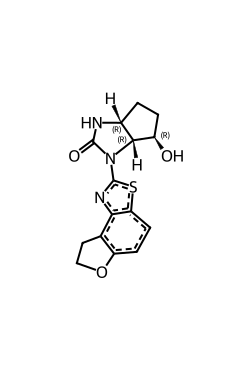 O=C1N[C@@H]2CC[C@@H](O)[C@@H]2N1c1nc2c3c(ccc2s1)OCC3